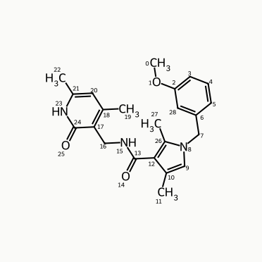 COc1cccc(Cn2cc(C)c(C(=O)NCc3c(C)cc(C)[nH]c3=O)c2C)c1